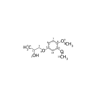 [CH2]C(O)COc1ccc(OC)c(OC)c1